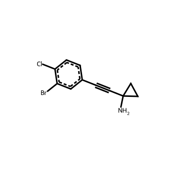 NC1(C#Cc2ccc(Cl)c(Br)c2)CC1